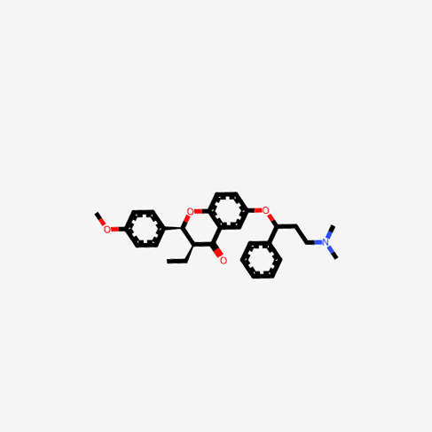 CC[C@@H]1C(=O)c2cc(OC(CCN(C)C)c3ccccc3)ccc2O[C@@H]1c1ccc(OC)cc1